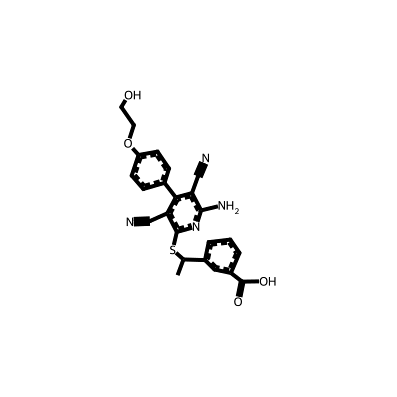 CC(Sc1nc(N)c(C#N)c(-c2ccc(OCCO)cc2)c1C#N)c1cccc(C(=O)O)c1